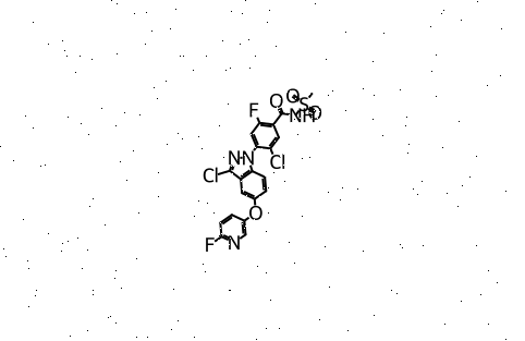 CS(=O)(=O)NC(=O)c1cc(Cl)c(-n2nc(Cl)c3cc(Oc4ccc(F)nc4)ccc32)cc1F